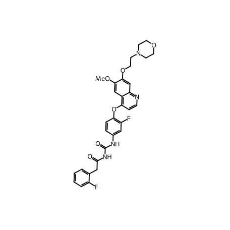 COc1cc2c(Oc3ccc(NC(=O)NC(=O)Cc4ccccc4F)cc3F)ccnc2cc1OCCN1CCOCC1